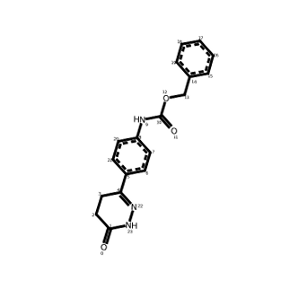 O=C1CCC(c2ccc(NC(=O)OCc3ccccc3)cc2)=NN1